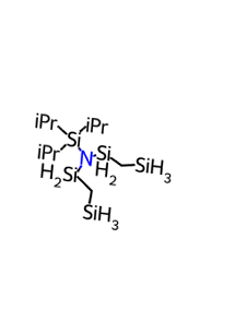 CC(C)[Si](C(C)C)(C(C)C)N([SiH2]C[SiH3])[SiH2]C[SiH3]